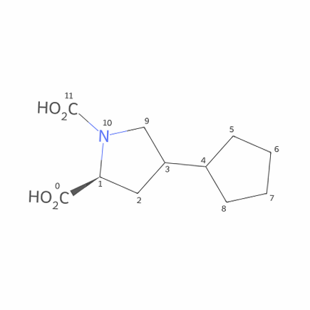 O=C(O)[C@@H]1CC(C2CCCC2)CN1C(=O)O